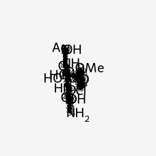 CC(=O)N(O)CCCCCNC(=O)CCC(=O)N(O)CCCCCNC(=O)CCC(=O)N(O)CCCCCN.COc1ccc2c(c1)c(CC(=O)O)c(C)n2C(=O)c1ccc(Cl)cc1